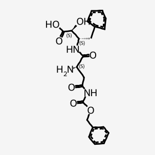 N[C@@H](CC(=O)NC(=O)OCc1ccccc1)C(=O)N[C@@H](Cc1ccccc1)[C@H](O)C(=O)O